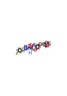 CN1C(=O)[C@@H](NC(=O)n2cc(Cc3cccc(F)c3)cn2)COc2ccc(OCC[C@@H]3OC(C)(C)OC3(C)C)cc21